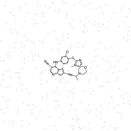 CC(C#Cc1cc2ncc(C#N)c(Nc3ccc(Sc4nccn4C)c(Cl)c3)c2s1)N1CCOCC1